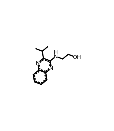 CC(C)c1nc2ccccc2nc1NCCO